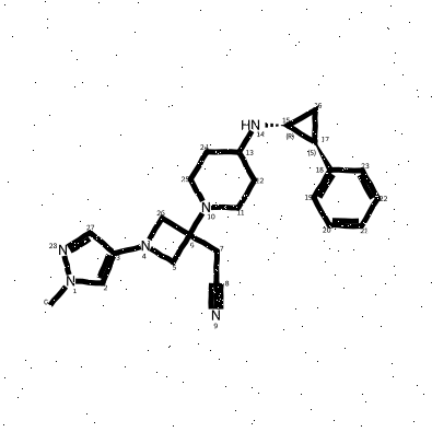 Cn1cc(N2CC(CC#N)(N3CCC(N[C@@H]4C[C@H]4c4ccccc4)CC3)C2)cn1